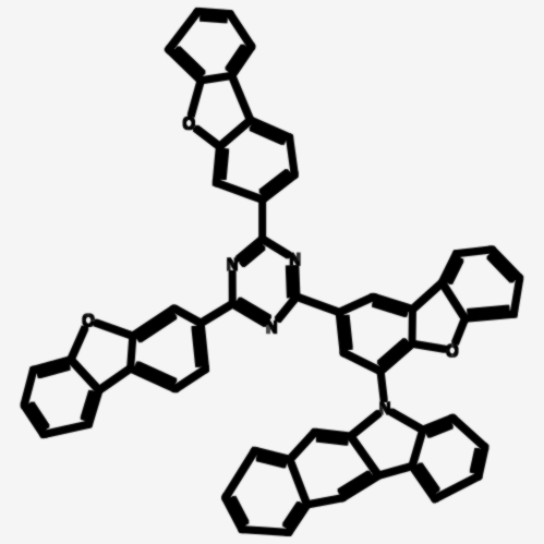 c1ccc2cc3c(cc2c1)c1ccccc1n3-c1cc(-c2nc(-c3ccc4c(c3)oc3ccccc34)nc(-c3ccc4c(c3)oc3ccccc34)n2)cc2c1oc1ccccc12